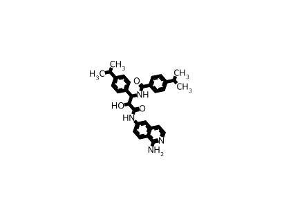 CC(C)c1ccc(C(=O)NC(c2ccc(C(C)C)cc2)C(O)C(=O)Nc2ccc3c(N)nccc3c2)cc1